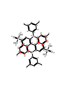 Cc1cc(C)cc(P(c2cc(C)cc(C)c2)c2cc(P(=O)(O)O)c3ccccc3c2-c2c(P(c3cc(C)cc(C)c3)c3cc(C)cc(C)c3)cc(P(=O)(O)O)c3ccccc23)c1